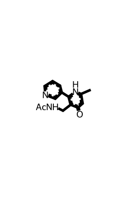 CC(=O)NCc1c(-c2cccnc2)[nH]c(C)cc1=O